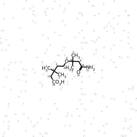 CC(C)(CCOC(C)(C)CC(N)=O)CC(=O)O